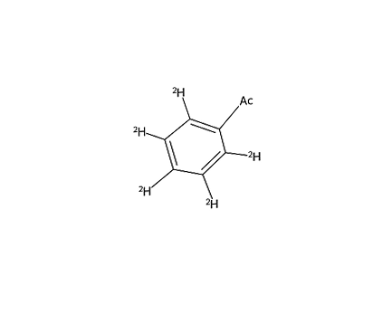 [2H]c1c([2H])c([2H])c(C(C)=O)c([2H])c1[2H]